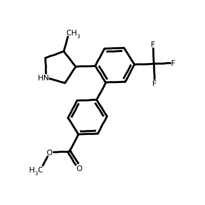 COC(=O)c1ccc(-c2cc(C(F)(F)F)ccc2C2CNCC2C)cc1